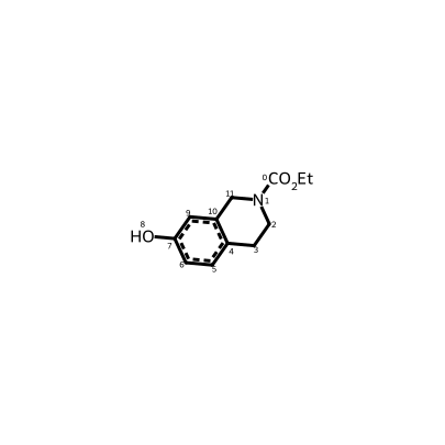 CCOC(=O)N1CCc2ccc(O)cc2C1